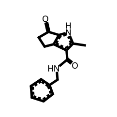 Cc1[nH]c2c(c1C(=O)NCc1ccccc1)CCC2=O